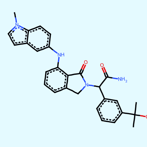 Cn1ccc2cc(Nc3cccc4c3C(=O)N(C(C(N)=O)c3cccc(C(C)(C)O)c3)C4)ccc21